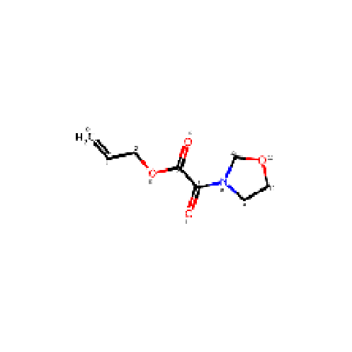 C=CCOC(=O)C(=O)N1CCOC1